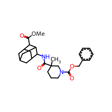 COC(=O)C1C2CC3CC(C2)C(NC(=O)C2(C)CCCN(C(=O)OCc4ccccc4)C2)C1C3